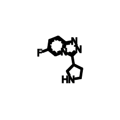 Fc1ccc2nnc(C3CCNC3)n2c1